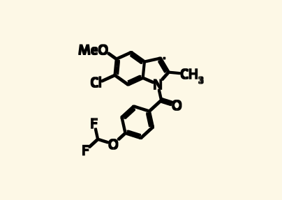 COc1cc2[c]c(C)n(C(=O)c3ccc(OC(F)F)cc3)c2cc1Cl